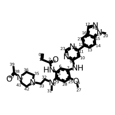 C=CC(=O)Nc1cc(Nc2cc(-c3ccc4c(cnn4C)c3)ncn2)c(OC)cc1N(C)CCN1CCN(C(C)=O)CC1